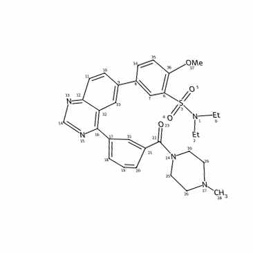 CCN(CC)S(=O)(=O)c1cc(-c2ccc3ncnc(-c4cccc(C(=O)N5CCN(C)CC5)c4)c3c2)ccc1OC